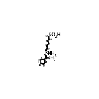 N/C(=C\N(N)CCCCCCCC(=O)O)c1cccnc1